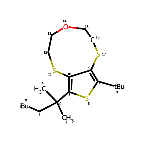 CCC(C)CC(C)(C)c1sc(C(C)(C)C)c2c1SCCOCCS2